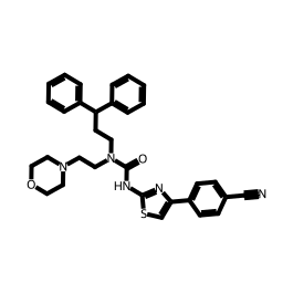 N#Cc1ccc(-c2csc(NC(=O)N(CCC(c3ccccc3)c3ccccc3)CCN3CCOCC3)n2)cc1